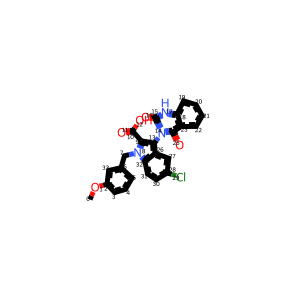 COc1cccc(Cn2c(C(=O)O)c(-n3c(=O)[nH]c4ccccc4c3=O)c3cc(Cl)ccc32)c1